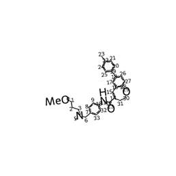 COCCCN(C)Cc1ccc(NC(=O)C2=Cc3cc(-c4ccc(C)cc4)ccc3OCC2)cc1